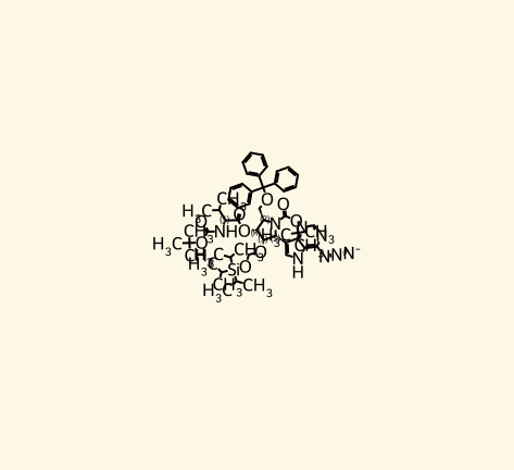 CC(C)[C@H](NC(=O)OC(C)(C)C)C(=O)O[C@H]1[C@@H](OCO[Si](C(C)C)(C(C)C)C(C)C)[C@H](c2c[nH]c3c(N=[N+]=[N-])ncnc23)N(C(=O)OC(C)(C)C)[C@@H]1COC(c1ccccc1)(c1ccccc1)c1ccccc1